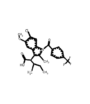 CCC(C)C(C(=O)O)c1c(C)n(C(=O)c2ccc(C(F)(F)F)cc2)c2cc(Cl)c(OC)cc12